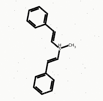 C[SH](C=Cc1ccccc1)C=Cc1ccccc1